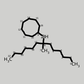 CCCCCCC(C)(BC1CCCCCCC1)CCCCCC